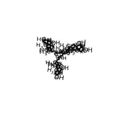 C[C@H](CCC(=O)NCCC(CNC(=O)CC[C@@H](C)[C@H]1CCC2C3C(C[C@H](O)[C@@]21C)[C@@]1(C)CC[C@@H](O)C[C@H]1C[C@H]3O)C(N)CNC(=O)CC[C@@H](C)[C@H]1CCC2C3C(C[C@H](O)[C@@]21C)[C@@]1(C)CC[C@@H](O)C[C@H]1C[C@H]3O)[C@H]1CCC2C3C(C[C@H](O)[C@@]21C)[C@@]1(C)CC[C@@H](O)C[C@H]1C[C@H]3O